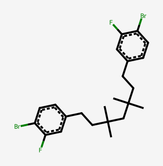 CC(C)(CCc1ccc(Br)c(F)c1)CC(C)(C)CCc1ccc(Br)c(F)c1